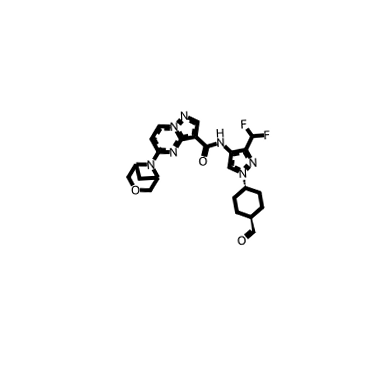 O=C[C@H]1CC[C@H](n2cc(NC(=O)c3cnn4ccc(N5C6COCC5C6)nc34)c(C(F)F)n2)CC1